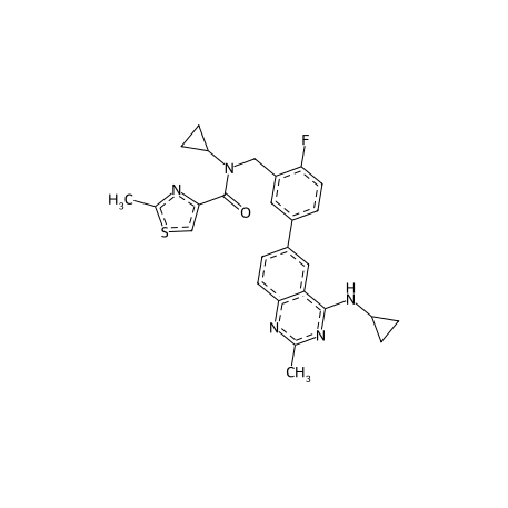 Cc1nc(NC2CC2)c2cc(-c3ccc(F)c(CN(C(=O)c4csc(C)n4)C4CC4)c3)ccc2n1